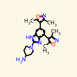 Cc1noc(C)c1-c1cc(-c2c(C)noc2C)c2nc(N3CCC(N)CC3)[nH]c2c1